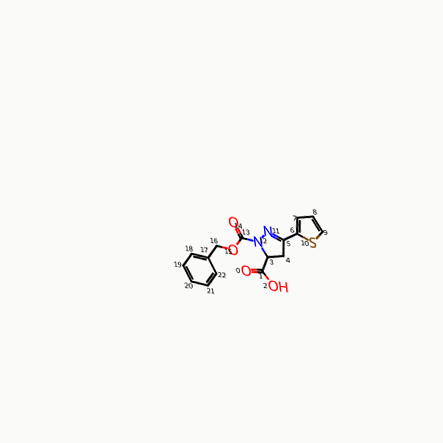 O=C(O)C1CC(c2cccs2)=NN1C(=O)OCc1ccccc1